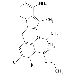 CCOC(=O)c1c(F)c(Cl)cc(Cc2nc(C)c3c(N)nccn23)c1OC(C)C